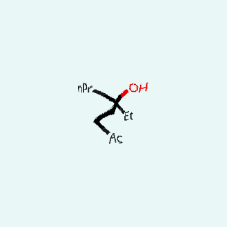 CCCC(O)(CC)CC(C)=O